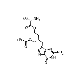 CCCC(=O)OC[C@H](CCOC(=O)[C@@H](N)[C@@H](C)CC)Cn1cnc2c(=O)[nH]c(N)nc21